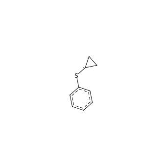 c1ccc(S[C]2CC2)cc1